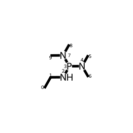 CCNP(N(C)C)N(C)C